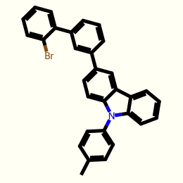 Cc1ccc(-n2c3ccccc3c3cc(-c4cccc(-c5ccccc5Br)c4)ccc32)cc1